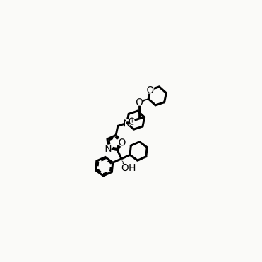 O[C@](c1ccccc1)(c1ncc(C[N+]23CCC(CC2)C(O[C@@H]2CCCCO2)C3)o1)C1CCCCC1